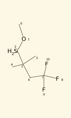 CO[SiH2]C(C)(C)CC(F)(F)F